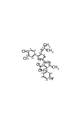 Cc1nn(-c2nc(-c3ccc(Cl)c(Cl)c3)c(SC(C)C)s2)c(C(=O)O)c1-c1cccc(F)c1